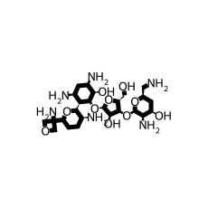 NC[C@H]1C[C@H](O)[C@@H](N)[C@@H](O[C@H]2[C@@H](O)[C@H](O[C@@H]3[C@@H](O)[C@H](N)C[C@H](N)[C@H]3C3OC(C4(N)COC4)CC[C@H]3N)O[C@@H]2CO)O1